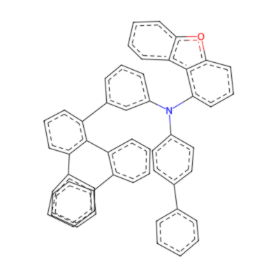 c1ccc(-c2ccc(N(c3cccc(-c4cccc(-c5ccccc5)c4-c4ccccc4-c4ccccc4)c3)c3cccc4oc5ccccc5c34)cc2)cc1